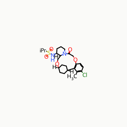 Cc1c(Cl)ccc2c1[C@H]1CC[C@H](CC1)OC[C@H]1C(NS(=O)(=O)C(C)C)CCCN1C(=O)CO2